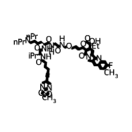 CCCN(CCC)CCCC[C@H](NC(=O)[C@@H](NC(=O)CCCC#Cc1cnc(S(C)(=O)=O)nc1)C(C)C)C(=O)NCC(=O)NCOC/C=C/C1OC(=O)[C@](O)(CC)c2cc3n(c(=O)c21)Cc1cc2cc(C)c(F)cc2nc1-3